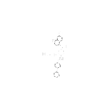 Cl.Cl.Clc1ccc2c(NC3CCC(NCc4ccc(-c5ccccc5)cc4)CC3)ccnc2c1